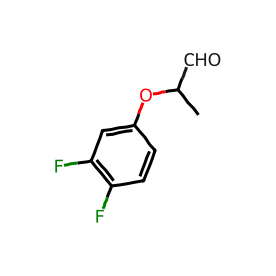 CC(C=O)Oc1ccc(F)c(F)c1